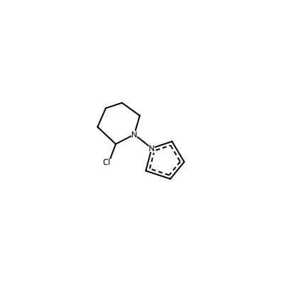 ClC1CCCCN1n1cccc1